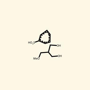 COCC(CO)CO.O=S(=O)(O)c1ccccc1